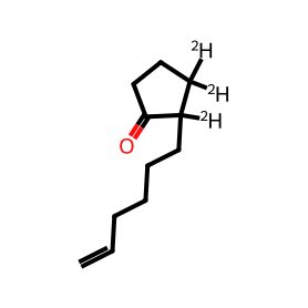 [2H]C1([2H])CCC(=O)C1([2H])CCCCC=C